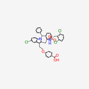 O=C(O)c1ccc(OCCc2c(CCNS(=O)(=O)Cc3c(Cl)cccc3Cl)n(C(c3ccccc3)c3ccccc3)c3ccc(Cl)cc23)cc1